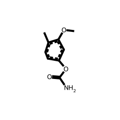 COc1cc(OC(N)=O)ccc1C